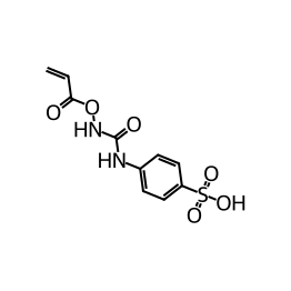 C=CC(=O)ONC(=O)Nc1ccc(S(=O)(=O)O)cc1